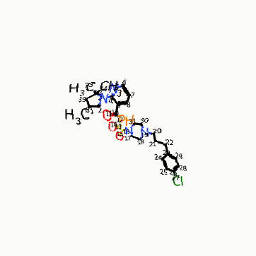 C[C@@H]1CN(c2ncccc2C(=O)PS(=O)(=O)N2CCN(CCCc3ccc(Cl)cc3)CC2)C(C)(C)C1